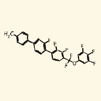 Cc1ccc(-c2ccc(-c3ccc(C(F)(F)Oc4cc(F)c(F)c(F)c4)c(F)c3F)c(F)c2)cc1